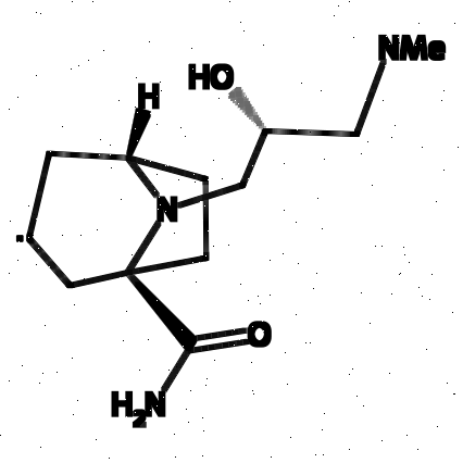 CNC[C@@H](O)CN1[C@@H]2C[CH]C[C@@]1(C(N)=O)CC2